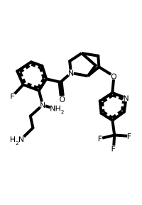 NCCN(N)c1c(F)cccc1C(=O)N1CC2CC(Oc3ccc(C(F)(F)F)cn3)C1C2